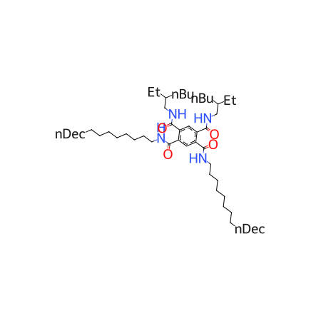 CCCCCCCCCCCCCCCCCCNC(=O)c1cc(C(=O)NCCCCCCCCCCCCCCCCCC)c(C(=O)NCC(CC)CCCC)cc1C(=O)NCC(CC)CCCC